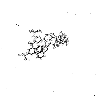 COc1c(CN2O[C@@H](CO)[C@@H]([C@H](C)O)[C@H]2C(=O)N[C@H]2C[C@H]3C[C@@H]([C@@H]2C)C3(C)C)cccc1-c1cc(C(=O)C2[C@H](CN(C)C)CC[C@@H]2c2ccccc2)cc(N(C)C)c1